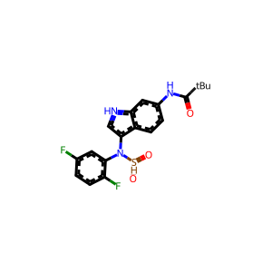 CC(C)(C)C(=O)Nc1ccc2c(N(c3cc(F)ccc3F)[SH](=O)=O)c[nH]c2c1